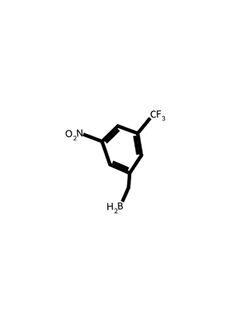 BCc1cc([N+](=O)[O-])cc(C(F)(F)F)c1